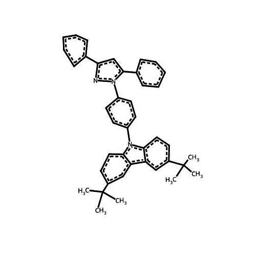 CC(C)(C)c1ccc2c(c1)c1cc(C(C)(C)C)ccc1n2-c1ccc(-n2nc(-c3ccccc3)cc2-c2ccccc2)cc1